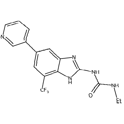 CCNC(=O)Nc1nc2cc(-c3cccnc3)cc(C(F)(F)F)c2[nH]1